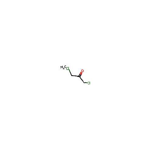 C.O=C(CCl)CCl